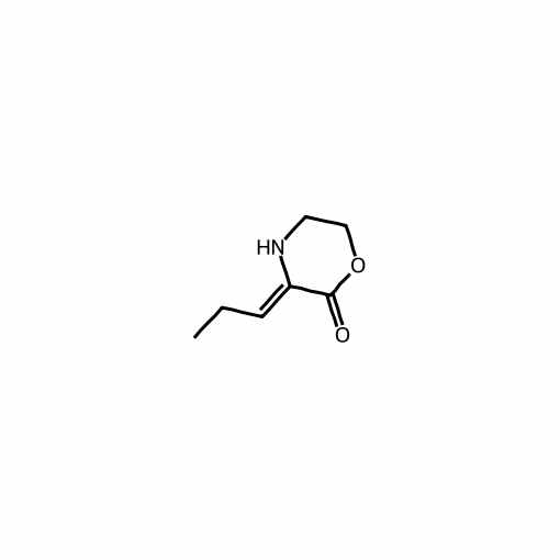 CCC=C1NCCOC1=O